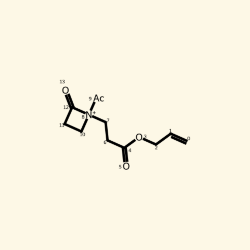 C=CCOC(=O)CC[N+]1(C(C)=O)CCC1=O